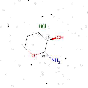 Cl.N[C@@H]1OCCC[C@H]1O